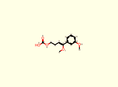 COC(=CCCOC(=O)O)c1cccc(OC)c1